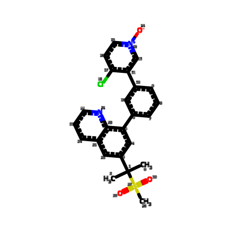 CC(C)(c1cc(-c2cccc(-c3c[n+]([O-])ccc3Cl)c2)c2ncccc2c1)S(C)(=O)=O